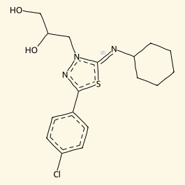 OCC(O)Cn1nc(-c2ccc(Cl)cc2)s/c1=N\C1CCCCC1